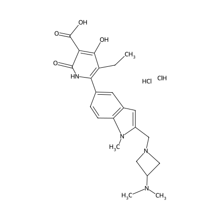 CCc1c(-c2ccc3c(c2)cc(CN2CC(N(C)C)C2)n3C)[nH]c(=O)c(C(=O)O)c1O.Cl.Cl